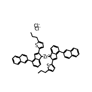 CCCc1ccc(C2=Cc3c(-c4ccc5ccccc5c4)cccc3[CH]2[Zr+2][CH]2C(c3ccc(CCC)s3)=Cc3c(-c4ccc5ccccc5c4)cccc32)s1.[Cl-].[Cl-]